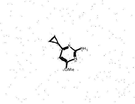 COc1cc(C2CC2)nc(N)n1